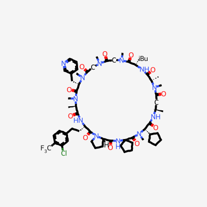 CCC(C)[C@@H]1NC(=O)[C@H](C)N(C)C(=O)C[C@@H](C)NC(=O)[C@H](C2CCCC2)N(C)C(=O)C2(CCCC2)NC(=O)[C@@H]2CCCN2C(=O)[C@H](CCc2ccc(C(F)(F)F)c(Cl)c2)NC(=O)[C@@H](C)N(C)C(=O)[C@H](Cc2cccnc2)N(C)C(=O)CN(C)C(=O)CN(C)C1=O